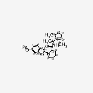 CC(C)Oc1ccc2nc(N3CCCC[C@H]3C(=O)NC(C)N3[C@H](C)CCC[C@@H]3C)oc2c1